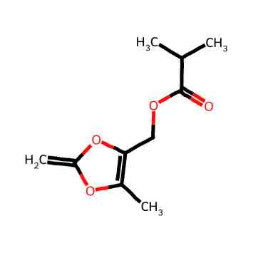 C=C1OC(C)=C(COC(=O)C(C)C)O1